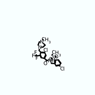 CCS(=O)(=O)c1ccc(Cl)cc1CNC(=O)c1cc(Cl)c(CN2CCN(C)CC2)c(C(F)(F)F)c1